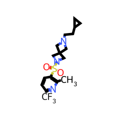 Cc1nc(C(F)(F)F)ccc1S(=O)(=O)N1CC2(CN(CCC3CC3)C2)C1